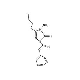 CCCCc1nn(C(=O)Oc2ccccc2)c(=O)n1N